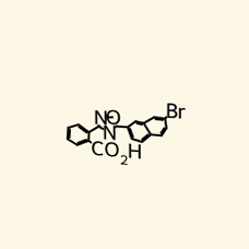 O=C(O)c1ccccc1-c1noc(-c2ccc3ccc(Br)cc3c2)n1